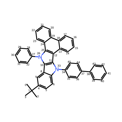 CC(C)(C)c1ccc2c(c1)c1c(c3c4ccccc4c4ccccc4c3n1-c1ccccc1)n2-c1ccc(-c2ccccc2)cc1